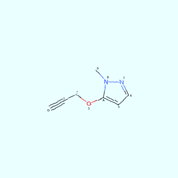 C#CCOc1ccnn1C